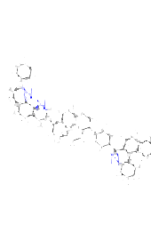 C1=CC2=C(c3ccc(-c4nc5ccccc5c5c4ccc4ccccc45)cc3)C=CC3=CC=C4C(c5cnc6c(ccc7ccc(-c8ccccc8)nc76)c5)=CC=C1C4C32